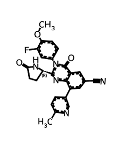 COc1ccc(-n2c([C@H]3CCC(=O)N3)nc3c(-c4ccc(C)nc4)cc(C#N)cc3c2=O)cc1F